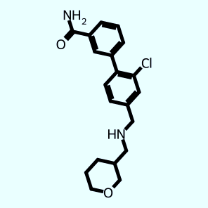 NC(=O)c1cccc(-c2ccc(CNCC3CCCOC3)cc2Cl)c1